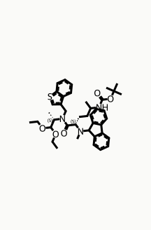 CCOC(OCC)[C@H](C)N(Cc1csc2ccccc12)C(=O)[C@H](CCC(C)NC(=O)OC(C)(C)C)N(C)C1c2ccccc2-c2ccccc21